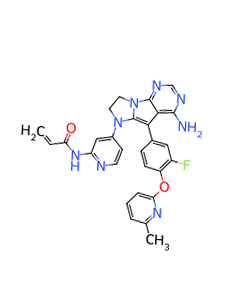 C=CC(=O)Nc1cc(N2CCn3c2c(-c2ccc(Oc4cccc(C)n4)c(F)c2)c2c(N)ncnc23)ccn1